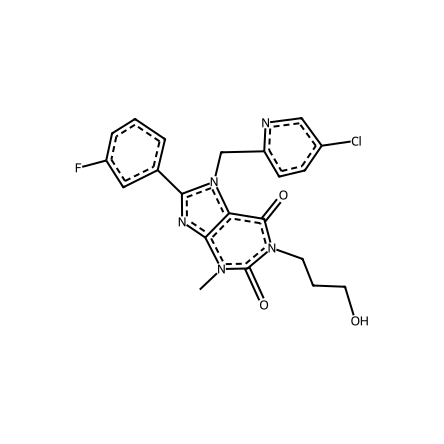 Cn1c(=O)n(CCCO)c(=O)c2c1nc(-c1cccc(F)c1)n2Cc1ccc(Cl)cn1